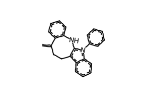 C=C1CCc2c(n(-c3ccccc3)c3ccccc23)Nc2ccccc21